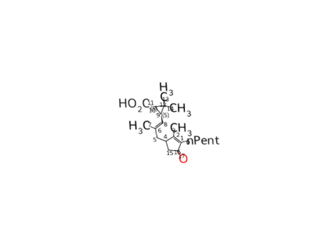 CCCCCC1=C(C)C(CC(C)=C[C@H]2[C@H](C(=O)O)C2(C)C)CC1=O